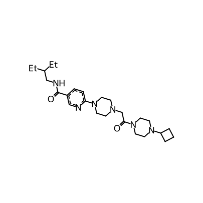 CCC(CC)CNC(=O)c1ccc(N2CCN(CC(=O)N3CCN(C4CCC4)CC3)CC2)nc1